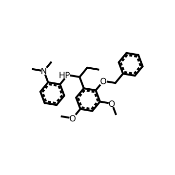 CCC(Pc1ccccc1N(C)C)c1cc(OC)cc(OC)c1OCc1ccccc1